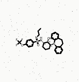 CCCN=S(=O)(N[C@H]1CCC[C@H](N2c3ccccc3CCc3ccccc32)[C@@H]1O)c1ccc(OC(F)(F)F)cc1